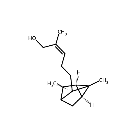 C/C(=C/CC[C@]1(C)C2C[C@@H]3[C@H](C2)C31C)CO